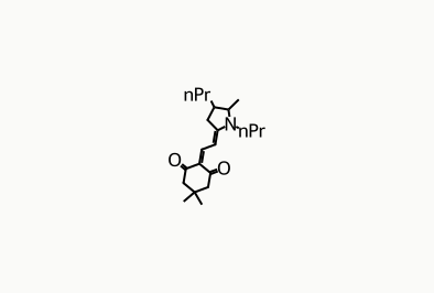 CCCC1C/C(=C\C=C2C(=O)CC(C)(C)CC2=O)N(CCC)C1C